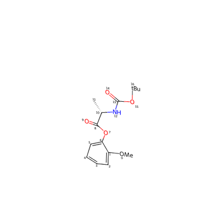 COc1ccccc1OC(=O)[C@H](C)NC(=O)OC(C)(C)C